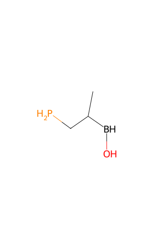 CC(BO)CP